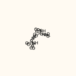 COC(=O)CCc1ccc(N2CCN(C(=O)OCCCc3ccc(N4CCN(C(=O)OC(C)(C)C)CC4)cc3C(=O)N[C@H](C)c3ccc(OC)c(OC)c3)CC2)cc1C(=O)N[C@H](C)c1ccc(OC)c(OC)c1